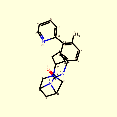 Cc1ccc(NC(=O)N2C3CC2CN(C2CCC2)C3)cc1-c1ccccn1